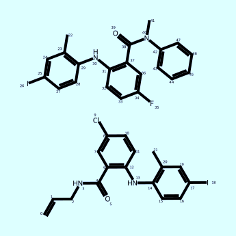 C=CCNC(=O)c1cc(Cl)ccc1Nc1ccc(I)cc1C.Cc1cc(I)ccc1Nc1ccc(F)cc1C(=O)N(C)c1ccccc1